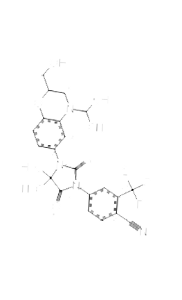 CC(C)N1CC(CO)Oc2ccc(N3C(=S)N(c4ccc(C#N)c(C(F)(F)F)c4)C(=O)C3(C)C)cc21